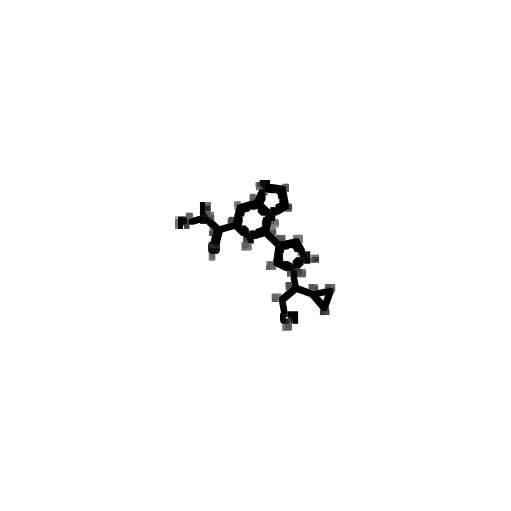 CC(C)NC(=O)c1cc2nccn2c(-c2cnn(C(CC#N)C3CC3)c2)n1